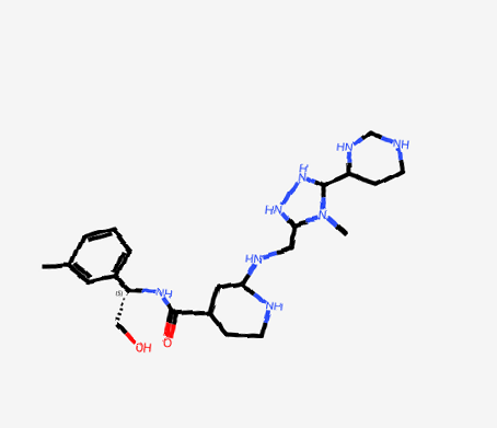 Cc1cccc([C@@H](CO)NC(=O)C2CCNC(NCC3NNC(C4CCNCN4)N3C)C2)c1